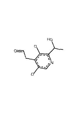 CC(O)c1ncc(Cl)c(CC=O)c1Cl